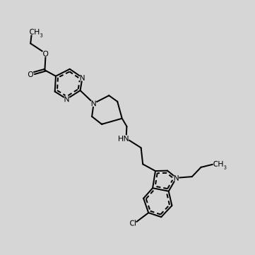 CCCn1cc(CCNCC2CCN(c3ncc(C(=O)OCC)cn3)CC2)c2cc(Cl)ccc21